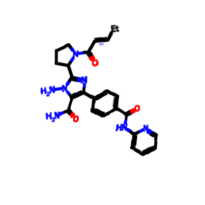 CC/C=C/C(=O)N1CCCC1c1nc(-c2ccc(C(=O)Nc3ccccn3)cc2)c(C(N)=O)n1N